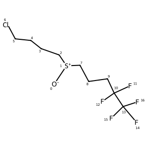 [O-][S+](CCCCCl)CCCC(F)(F)C(F)(F)F